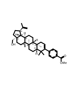 C=C(C)[C@@H]1CC[C@]2(CO)CC[C@]3(C)[C@H](CC[C@@H]4[C@@]5(C)CC=C(c6ccc(C(=O)OC)cc6)C(C)(C)[C@@H]5CC[C@]43C)[C@@H]12